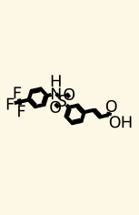 O=C(O)/C=C/c1cccc(S(=O)(=O)Nc2ccc(C(F)(F)F)cc2)c1